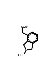 CNCc1cccc2c1CN(C=O)C2